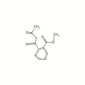 COC(=O)c1ccccc1C(=O)CC(C)=O